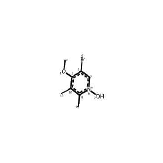 COc1c(Br)c[n+](O)c(C)c1C